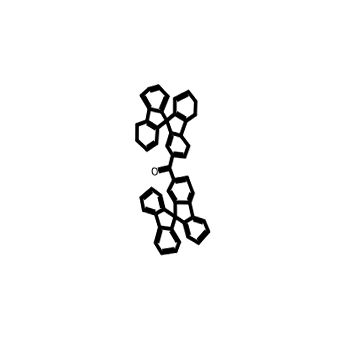 O=C(C1=CCC2C(=C1)C1(C3=C(CCC=C3)c3ccccc31)C1=C2CCC=C1)c1ccc2c(c1)C1(c3ccccc3-c3ccccc31)c1ccccc1-2